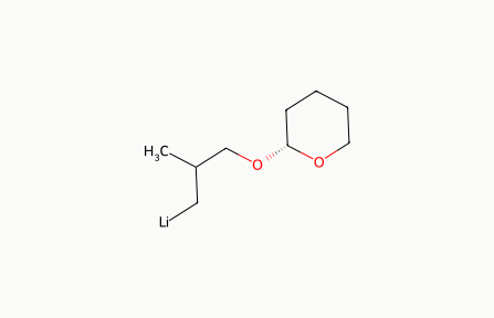 [Li][CH2]C(C)CO[C@@H]1CCCCO1